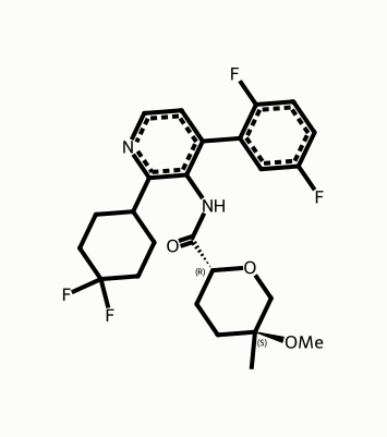 CO[C@@]1(C)CC[C@H](C(=O)Nc2c(-c3cc(F)ccc3F)ccnc2C2CCC(F)(F)CC2)OC1